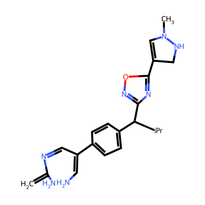 C=C(N)/N=C\C(=C/N)c1ccc(C(c2noc(C3=CN(C)NC3)n2)C(C)C)cc1